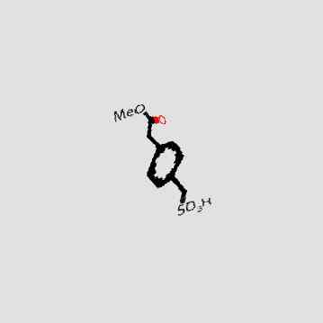 COC(=O)Cc1ccc(CS(=O)(=O)O)cc1